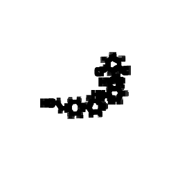 OCCN1CCN(c2ccnc(Nc3nccc4nc(-c5c(Cl)cccc5Cl)[nH]c34)c2)CC1